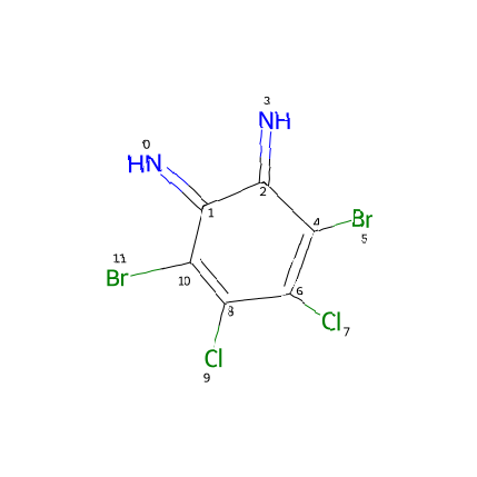 N=C1C(=N)C(Br)=C(Cl)C(Cl)=C1Br